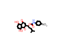 CC(C)=CCC(OC(=O)Nc1ccc([N+](=O)[O-])cc1)C1=CC(=O)c2c(O)ccc(O)c2C1=O